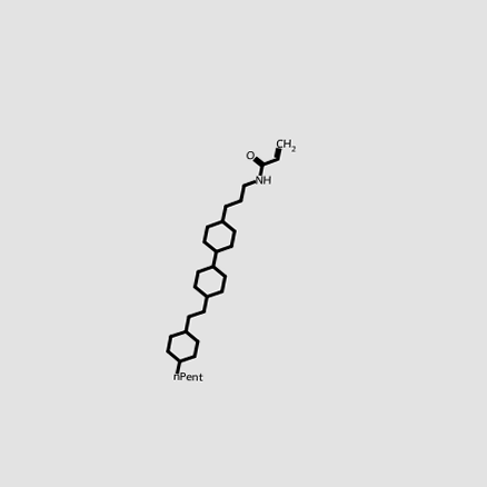 C=CC(=O)NCCCC1CCC(C2CCC(CCC3CCC(CCCCC)CC3)CC2)CC1